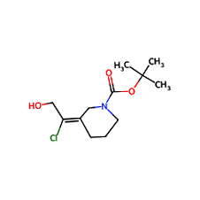 CC(C)(C)OC(=O)N1CCC/C(=C(\Cl)CO)C1